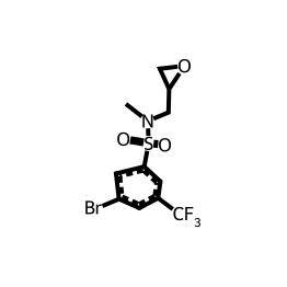 CN(CC1CO1)S(=O)(=O)c1cc(Br)cc(C(F)(F)F)c1